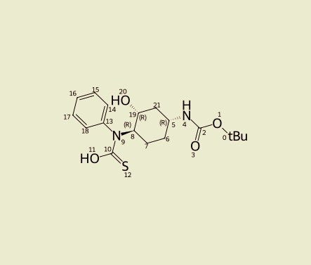 CC(C)(C)OC(=O)N[C@@H]1CC[C@@H](N(C(O)=S)c2ccccc2)[C@H](O)C1